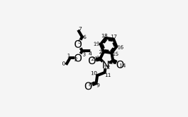 CCOC(C)OCC.O=CCCN1C(=O)c2ccccc2C1=O